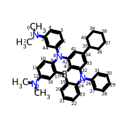 CN(C)c1cccc(N2c3ccc(N(C)C)cc3B3c4ccccc4N(c4ccccc4)c4cc(C5CCCCC5)cc2c43)c1